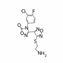 NCCSc1nonc1-c1noc(=O)n1-c1ccc(F)c(Cl)c1